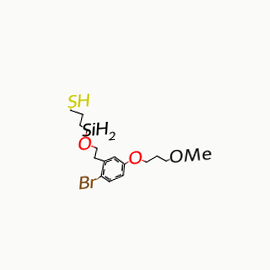 COCCCOc1ccc(Br)c(CCO[SiH2]CCCS)c1